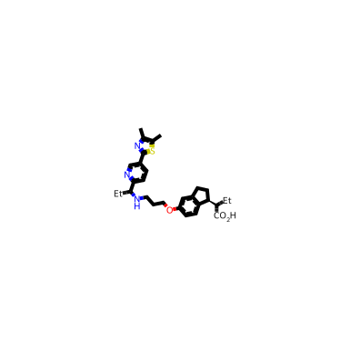 CCC(NCCCOc1ccc2c(c1)CC[C@H]2C(CC)C(=O)O)c1ccc(-c2nc(C)c(C)s2)cn1